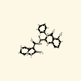 C[C@H](NC(=O)c1c(N)nn2ccncc12)c1nc2cccc(Cl)c2c(=O)n1-c1ccccc1